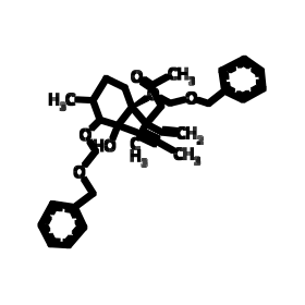 C=CC(C)(CC(C)=O)[C@@]1(OCOCc2ccccc2)CCC(C)C(OCOCc2ccccc2)C1(O)C#CC